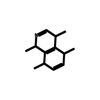 CC1C=CC(C)C2=C1C(C)C=NC2C